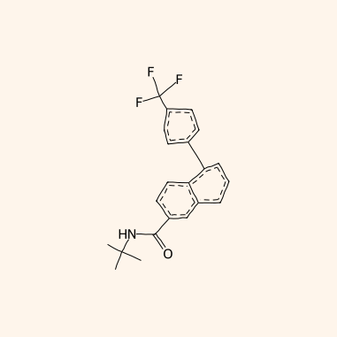 CC(C)(C)NC(=O)c1ccc2c(-c3ccc(C(F)(F)F)cc3)cccc2c1